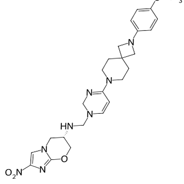 O=[N+]([O-])c1cn2c(n1)OC[C@@H](NCN1C=CC(N3CCC4(CC3)CN(c3ccc(OC(F)(F)F)cc3)C4)=NC1)C2